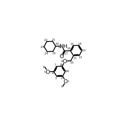 COc1cc(OC)cc(OCc2ccccc2C(=O)NC2CCCCC2)c1